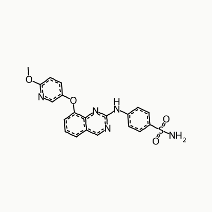 COc1ccc(Oc2cccc3cnc(Nc4ccc(S(N)(=O)=O)cc4)nc23)cn1